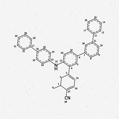 CC1CC(c2cc(-c3cccc(-c4ccccc4)c3)ccc2Nc2ccc(-c3ccccc3)cc2)=CC=C1C#N